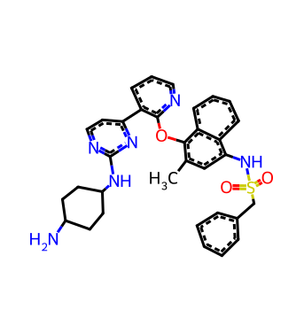 Cc1cc(NS(=O)(=O)Cc2ccccc2)c2ccccc2c1Oc1ncccc1-c1ccnc(NC2CCC(N)CC2)n1